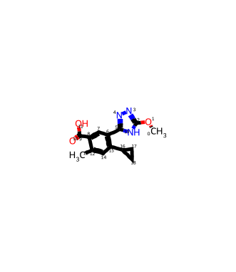 COc1nnc(-c2cc(C(=O)O)c(C)cc2C2CC2)[nH]1